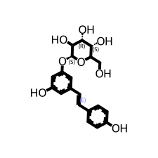 OCC1O[C@@H](Oc2cc(O)cc(/C=C/c3ccc(O)cc3)c2)C(O)[C@H](O)[C@@H]1O